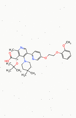 COc1ccccc1OCCOc1ccc(-c2cnc(C)c([C@H](OC(C)(C)C)C(=O)O)c2N2CCC(C)(C)CC2)nc1